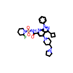 O=C(NS(=O)(=O)N1CCCCC1F)c1cc(N2CCC(CN3CCCC3)CC2)c2c(C3CCC3)nn(-c3ccccc3)c2n1